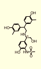 Cc1cc(C(CN[C@@H](CO)c2ccc(O)c(NS(C)(=O)=O)c2)c2ccc(O)c(C)c2)ccc1O